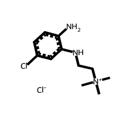 C[N+](C)(C)CCNc1cc(Cl)ccc1N.[Cl-]